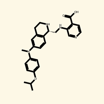 CC(C)Oc1ccc(N(C)c2ccc3c(c2)CCN[C@@H]3CNc2cnccc2C(=O)O)cc1